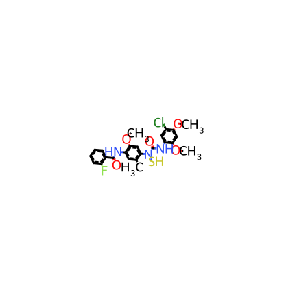 COc1cc(OC)c(NC(=O)N(S)c2cc(OC)c(NC(=O)c3ccccc3F)cc2C)cc1Cl